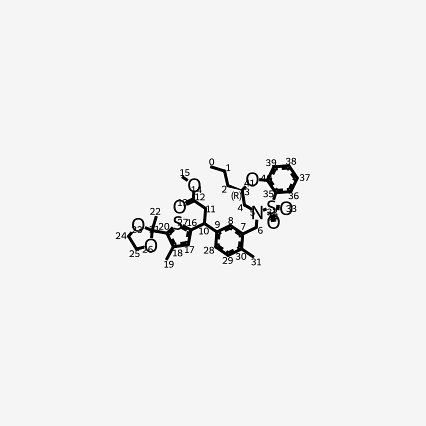 CCC[C@@H]1CN(Cc2cc(C(CC(=O)OC)c3cc(C)c(C4(C)OCCO4)s3)ccc2C)S(=O)(=O)c2ccccc2O1